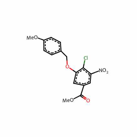 COC(=O)c1cc(OCc2ccc(OC)cc2)c(Cl)c([N+](=O)[O-])c1